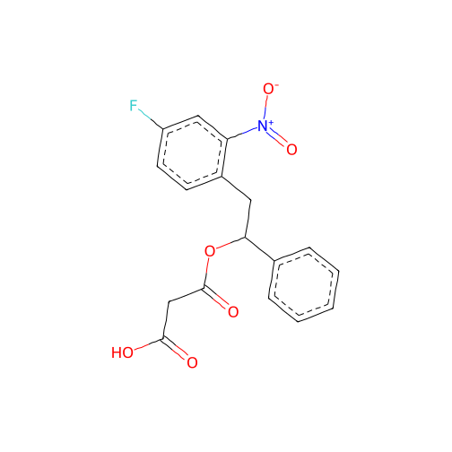 O=C(O)CC(=O)OC(Cc1ccc(F)cc1[N+](=O)[O-])c1ccccc1